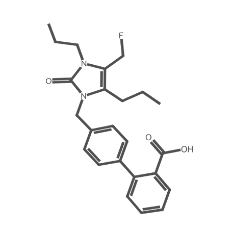 CCCc1c(CF)n(CCC)c(=O)n1Cc1ccc(-c2ccccc2C(=O)O)cc1